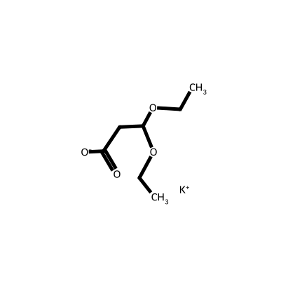 CCOC(CC(=O)[O-])OCC.[K+]